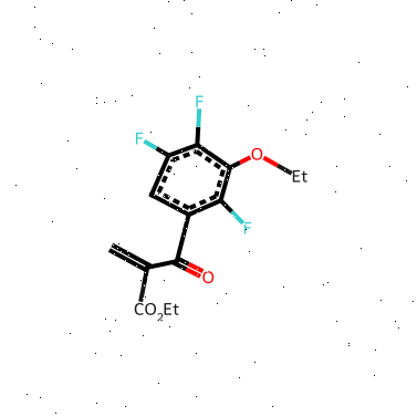 C=C(C(=O)OCC)C(=O)c1cc(F)c(F)c(OCC)c1F